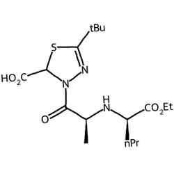 CCC[C@@H](N[C@@H](C)C(=O)N1N=C(C(C)(C)C)SC1C(=O)O)C(=O)OCC